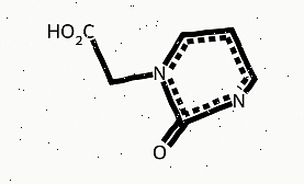 O=C(O)Cn1cccnc1=O